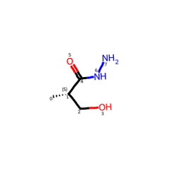 C[C@@H](CO)C(=O)NN